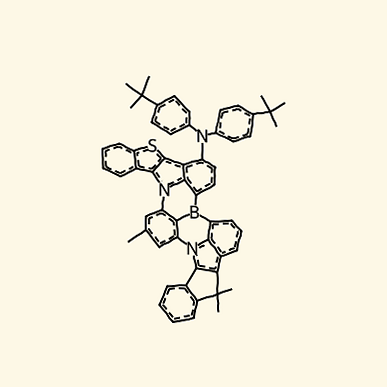 Cc1cc2c3c(c1)-n1c4c(ccc(N(c5ccc(C(C)(C)C)cc5)c5ccc(C(C)(C)C)cc5)c4c4sc5ccccc5c41)B3c1cccc3c4c(n-2c13)-c1ccccc1C4(C)C